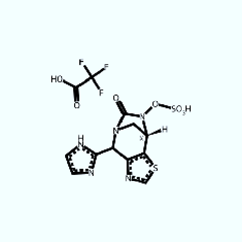 O=C(O)C(F)(F)F.O=C1N2C[C@@H](c3scnc3C2c2ncc[nH]2)N1OS(=O)(=O)O